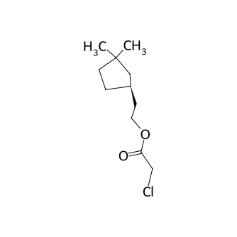 CC1(C)CC[C@H](CCOC(=O)CCl)C1